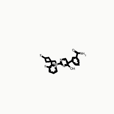 NC(=O)c1cccc(-c2cnc(NCC3(c4ncccc4F)CC(F)C3)nc2O)c1